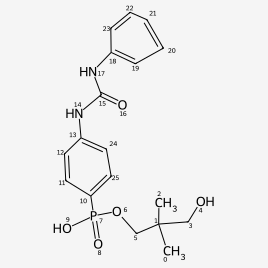 CC(C)(CO)COP(=O)(O)c1ccc(NC(=O)Nc2ccccc2)cc1